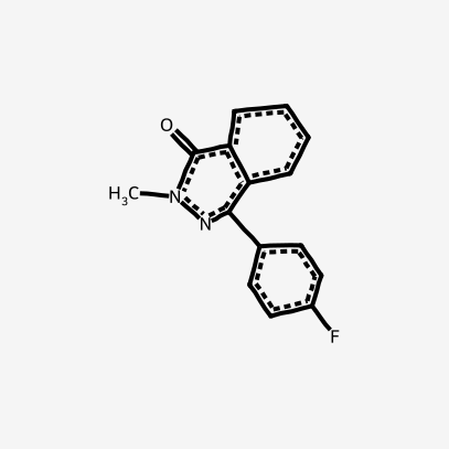 Cn1nc(-c2ccc(F)cc2)c2ccccc2c1=O